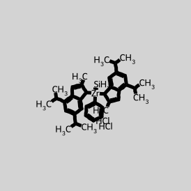 CC1=Cc2c(C(C)C)cc(C(C)C)cc2[CH]1[Zr](=[SiH2])([c]1ccccc1)[CH]1C(C)=Cc2c(C(C)C)cc(C(C)C)cc21.Cl.Cl